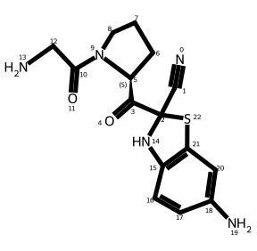 N#CC1(C(=O)[C@@H]2CCCN2C(=O)CN)Nc2ccc(N)cc2S1